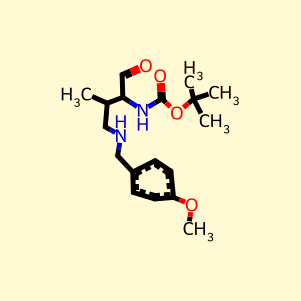 COc1ccc(CNCC(C)C(C=O)NC(=O)OC(C)(C)C)cc1